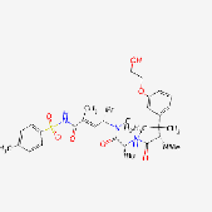 CN[C@H](C(=O)N[C@H](C(=O)N(C)[C@H](/C=C(\C)C(=O)NS(=O)(=O)c1ccc(C)cc1)C(C)C)C(C)(C)C)C(C)(C)c1cccc(OCCO)c1